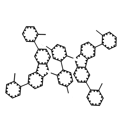 Cc1ccccc1-c1ccc2c(c1)c1cc(-c3ccccc3C)ccc1n2-c1ccc(C#N)cc1-c1ccc(C(F)(F)F)cc1-n1c2ccc(-c3ccccc3C)cc2c2cc(-c3ccccc3C)ccc21